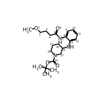 COCCCC(=O)Nc1ccccc1NC1CCCN(C(=O)OC(C)(C)C)C1